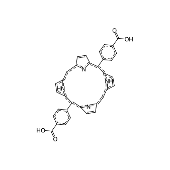 O=C(O)c1ccc(-c2c3nc(cc4ccc([nH]4)c(-c4ccc(C(=O)O)cc4)c4nc(cc5ccc2[nH]5)C=C4)C=C3)cc1